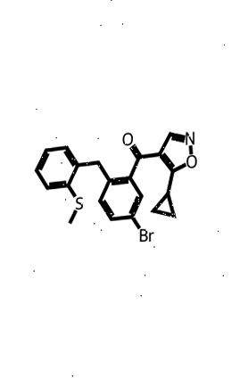 CSc1ccccc1Cc1ccc(Br)cc1C(=O)c1cnoc1C1CC1